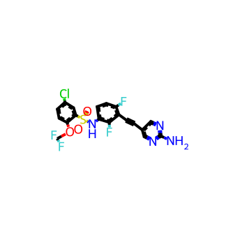 Nc1ncc(C#Cc2c(F)ccc(NS(=O)(=O)c3cc(Cl)ccc3OC(F)F)c2F)cn1